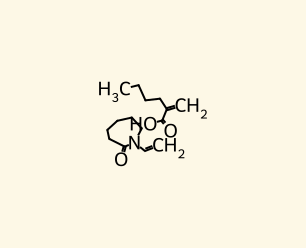 C=C(CCCC)C(=O)O.C=CN1CCCCCC1=O